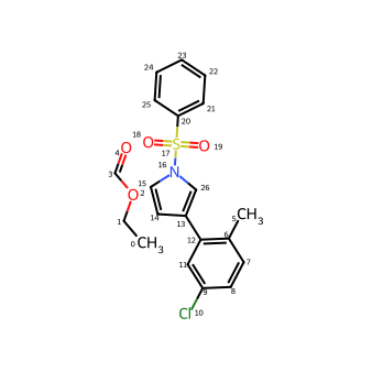 CCOC=O.Cc1ccc(Cl)cc1-c1ccn(S(=O)(=O)c2ccccc2)c1